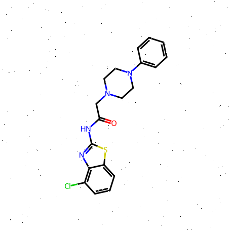 O=C(CN1CCN(c2ccccc2)CC1)Nc1nc2c(Cl)cccc2s1